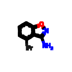 CC(C)c1cccc2onc(N)c12